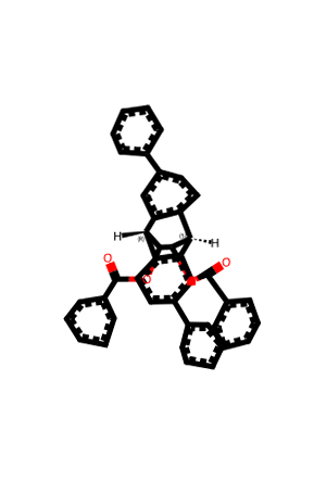 O=C(OC1C(OC(=O)c2ccccc2)[C@H]2c3ccc(-c4ccccc4)cc3[C@H]1c1ccc(-c3ccccc3)cc12)c1ccccc1